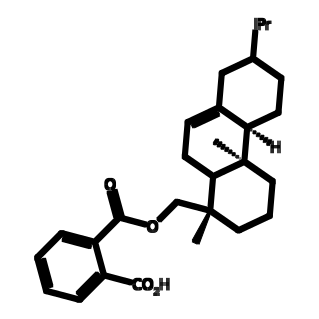 CC(C)C1CC[C@@H]2C(=CCC3[C@@](C)(COC(=O)c4ccccc4C(=O)O)CCC[C@@]32C)C1